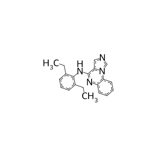 CCc1cccc(CC)c1Nc1nc2ccccc2n2cncc12